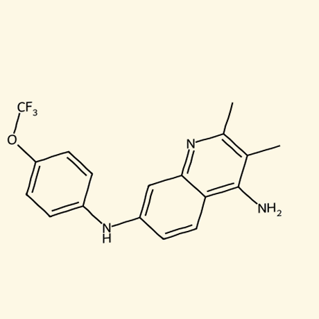 Cc1nc2cc(Nc3ccc(OC(F)(F)F)cc3)ccc2c(N)c1C